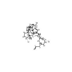 C=CCN1C[C@H](OC[C@@]23C[C@@H]4[C@H](C)CC[C@H]4[C@]4(C=O)C[C@@H]2C=C(C(C)C)[C@@]34C(=O)O)O[C@H](C)C1